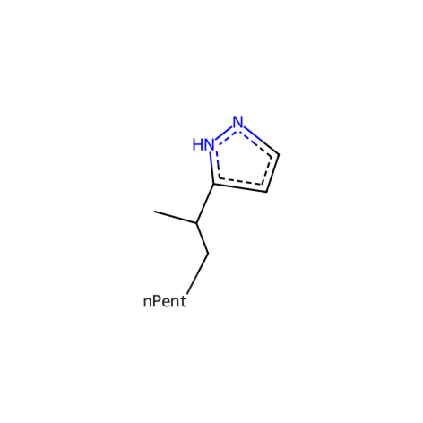 CCCCCCC(C)c1ccn[nH]1